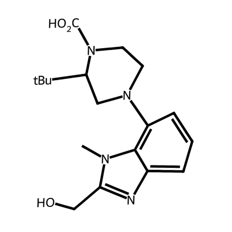 Cn1c(CO)nc2cccc(N3CCN(C(=O)O)C(C(C)(C)C)C3)c21